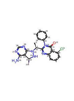 C[C@@H](c1nc2cccc(Cl)c2c(=O)n1-c1ccccc1)N1N[C@@H](I)c2c(N)ncnc21